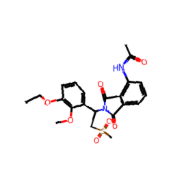 CCOc1cccc(C(CS(C)(=O)=O)N2C(=O)c3cccc(NC(C)=O)c3C2=O)c1OC